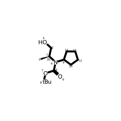 C[C@@H](CO)N(C(=O)OC(C)(C)C)C1CCCC1